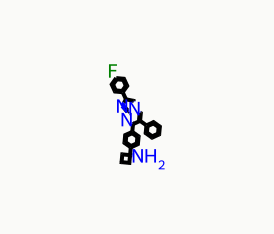 NC1(c2ccc(C3=NC4=NC(c5ccc(F)cc5)CN4C=C3c3ccccc3)cc2)CCC1